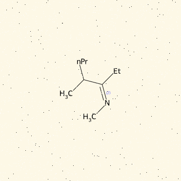 CCCC(C)/C(CC)=N\C